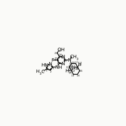 Cc1cc(Nc2nc(N(C)[C@@H]3C[C@H]4CCC[C@@H](C3)N4)nc(CO)c2F)n[nH]1